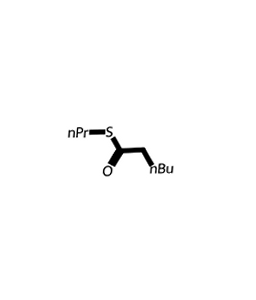 [CH2]CCSC(=O)CCCCC